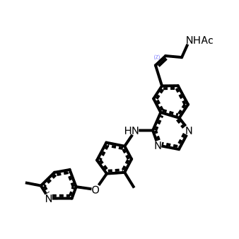 CC(=O)NC/C=C\c1ccc2ncnc(Nc3ccc(Oc4ccc(C)nc4)c(C)c3)c2c1